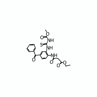 CCOC(=O)CC(=O)Nc1ccc(C(=O)c2ccccc2)cc1NC(=S)NC(=O)OC